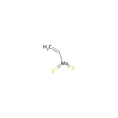 C=[CH][Mo](=[S])=[S]